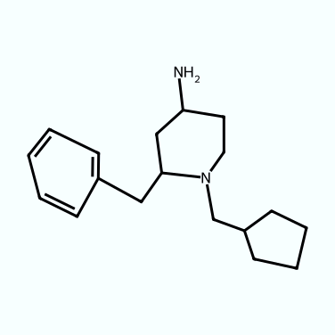 NC1CCN(CC2CCCC2)C(Cc2ccccc2)C1